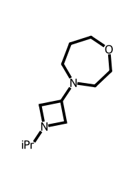 CC(C)N1CC(N2CCCOCC2)C1